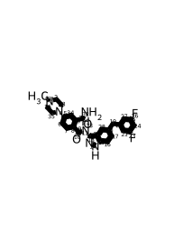 CN1CCN(c2ccc(C(=O)Nc3n[nH]c4ccc(Cc5cc(F)cc(F)c5)cc34)c(C(N)=O)c2)CC1